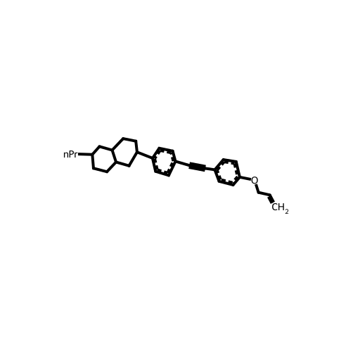 C=CCOc1ccc(C#Cc2ccc(C3CCC4CC(CCC)CCC4C3)cc2)cc1